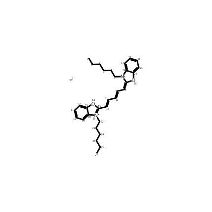 CCCCCCN1C(=CC=CC=Cc2oc3ccccc3[n+]2CCCCCC)Oc2ccccc21.[I-]